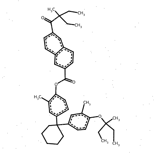 CCC(C)(CC)Oc1ccc(C2(c3ccc(OC(=O)c4ccc5cc(C(=O)C(C)(CC)CC)ccc5c4)c(C)c3)CCCCC2)cc1C